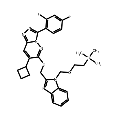 C[Si](C)(C)CCOCn1c(COc2nn3c(-c4ccc(F)cc4F)nnc3cc2C2CCC2)nc2ccccc21